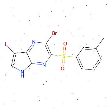 Cc1cccc(S(=O)(=O)c2nc3[nH]cc(I)c3nc2Br)c1